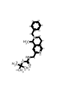 CC1c2cc(CNC(=O)OC(C)(C)C)ncc2CCN1Cc1ccccc1